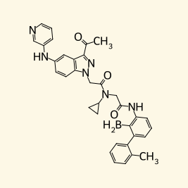 Bc1c(NC(=O)CN(C(=O)Cn2nc(C(C)=O)c3cc(Nc4cccnc4)ccc32)C2CC2)cccc1-c1ccccc1C